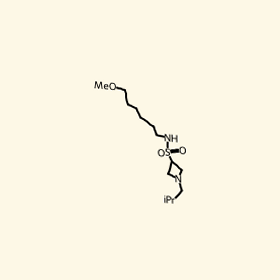 COCCCCCCNS(=O)(=O)C1CN(CC(C)C)C1